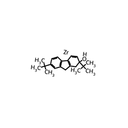 CC(C)(C)c1ccc2c(c1)CC1=C2C=CC(O)(C(C)(C)C)C1.[Zr]